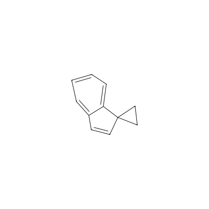 C1=CC2(CC2)c2ccccc21